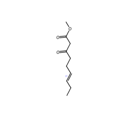 CC/C=C/CCC(=O)CC(=O)OC